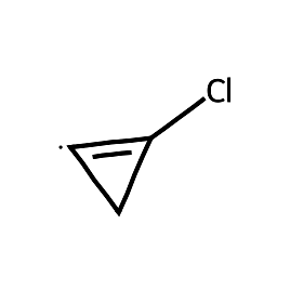 ClC1=[C]C1